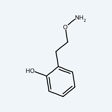 NOCCc1ccccc1O